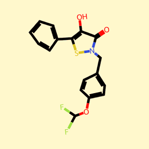 O=c1c(O)c(-c2ccccc2)sn1Cc1ccc(OC(F)F)cc1